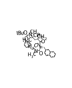 C=C(CC(C)(C)N(C)C(=O)OC(C)(C)C)C(=O)N(C)[C@H](Cc1ccc2ccccc2c1)C(=O)N(C)CCc1ccccc1